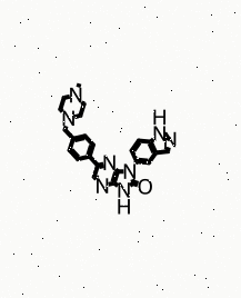 CN1CCN(Cc2ccc(-c3cnc4[nH]c(=O)n(-c5ccc6[nH]ncc6c5)c4n3)cc2)CC1